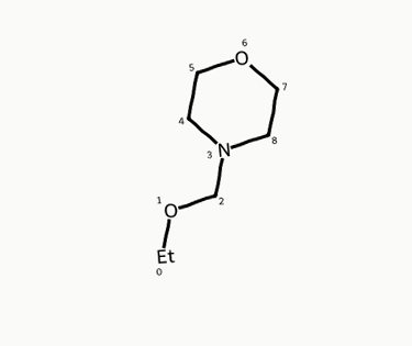 CCOCN1CCOCC1